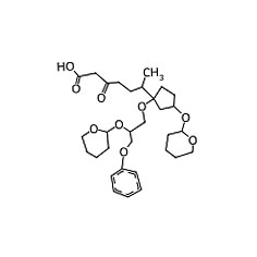 CC(CCC(=O)CC(=O)O)C1(OCC(COc2ccccc2)OC2CCCCO2)CCC(OC2CCCCO2)C1